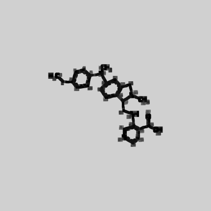 CCc1ccc(N(C)c2ccc3c(c2)CN(C)C3CNc2cnccc2C(=O)O)cc1